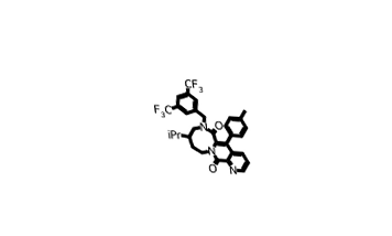 Cc1ccc(-c2c3n(c(=O)c4ncccc24)CCC(C(C)C)CN(Cc2cc(C(F)(F)F)cc(C(F)(F)F)c2)C3=O)cc1